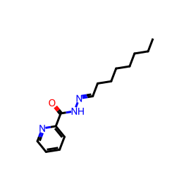 CCCCCCCC=NNC(=O)c1ccccn1